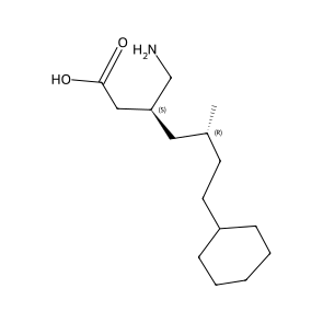 C[C@H](CCC1CCCCC1)C[C@H](CN)CC(=O)O